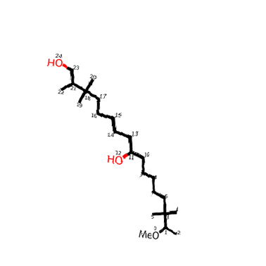 COC(C)C(C)(C)CCCCCC(O)CCCCCC(C)(C)C(C)CO